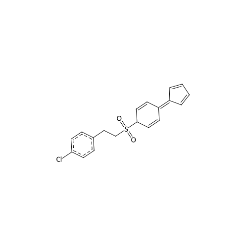 O=S(=O)(CCc1ccc(Cl)cc1)C1C=CC(=C2C=CC=C2)C=C1